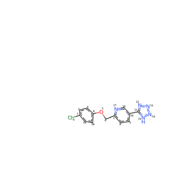 Clc1ccc(OCc2ccc(-c3nnn[nH]3)cn2)cc1